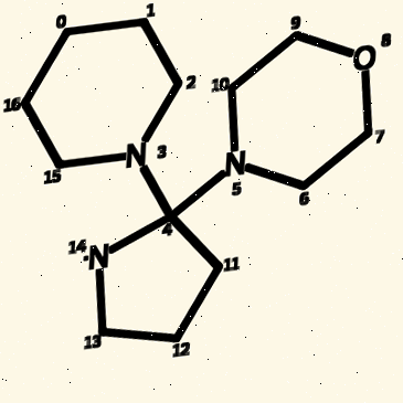 C1CCN(C2(N3CCOCC3)CCC[N]2)CC1